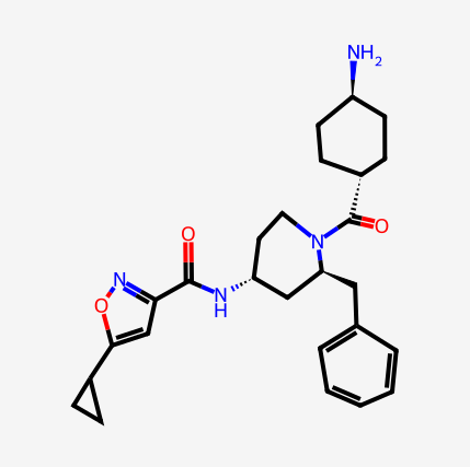 N[C@H]1CC[C@H](C(=O)N2CC[C@@H](NC(=O)c3cc(C4CC4)on3)C[C@@H]2Cc2ccccc2)CC1